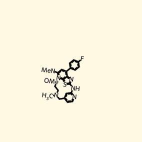 CNc1cc(-c2ccc(F)cc2)c2nc(Nc3cc(CN(C)CCOC)ccn3)sc2n1